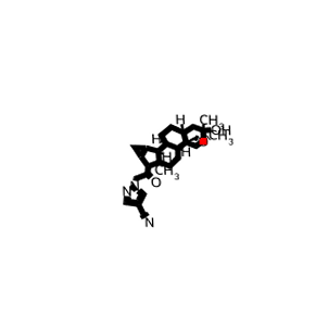 COC[C@]12CC[C@@](C)(O)C[C@H]1CC[C@@H]1[C@@H]2CC[C@]2(C)C(C(=O)Cn3cc(C#N)cn3)C3CC3[C@@H]12